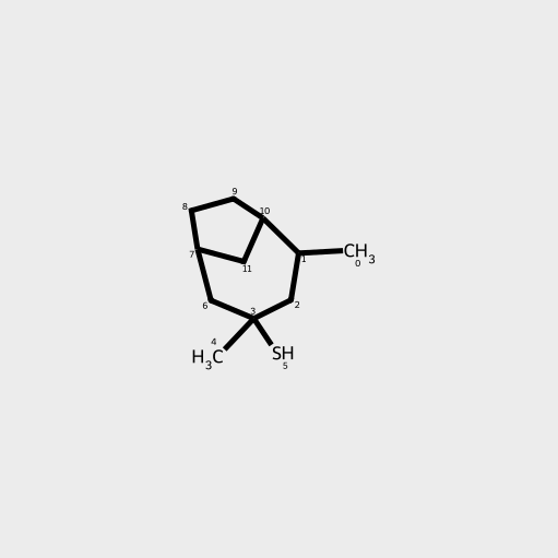 CC1CC(C)(S)CC2CCC1C2